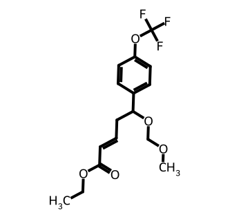 CCOC(=O)C=CCC(OCOC)c1ccc(OC(F)(F)F)cc1